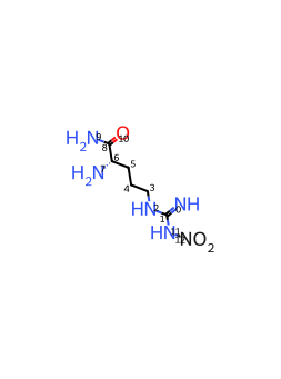 N=C(NCCC[C@H](N)C(N)=O)N[N+](=O)[O-]